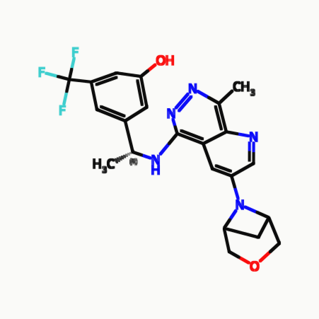 Cc1nnc(N[C@H](C)c2cc(O)cc(C(F)(F)F)c2)c2cc(N3C4COCC3C4)cnc12